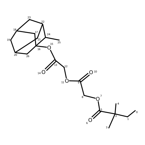 CCC(C)(C)C(=O)OCC(=O)OCC(=O)OC12CC3CC(CC(C3)C1C)C2